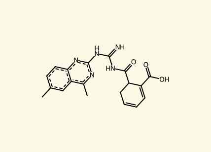 Cc1ccc2nc(NC(=N)NC(=O)C3CC=CC=C3C(=O)O)nc(C)c2c1